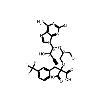 C#C[C@@H](O)[C@@H](O[C@@H](CO)COC(Cc1cccc(C(F)(F)F)c1)(C(=O)O)C(=O)O)n1cnc2c(N)nc(Cl)nc21